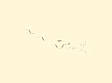 CCN1CC(NC(=S)c2ccc(OC/C=C(\C)CCC=C(C)C)cc2)CN1CC